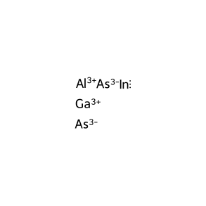 [Al+3].[As-3].[As-3].[Ga+3].[In]